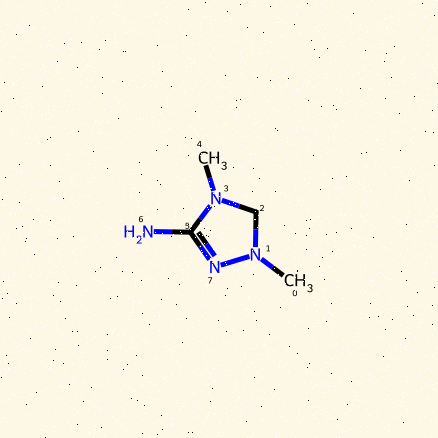 CN1CN(C)C(N)=N1